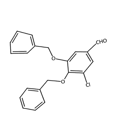 O=Cc1cc(Cl)c(OCc2ccccc2)c(OCc2ccccc2)c1